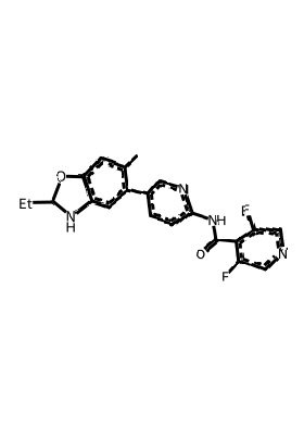 CCC1Nc2cc(-c3ccc(NC(=O)c4c(F)cncc4F)nc3)c(C)cc2O1